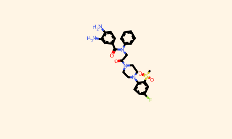 CS(=O)(=O)c1cc(F)ccc1N1CCN(C(=O)CN(C(=O)c2ccc(N)c(N)c2)c2ccccc2)CC1